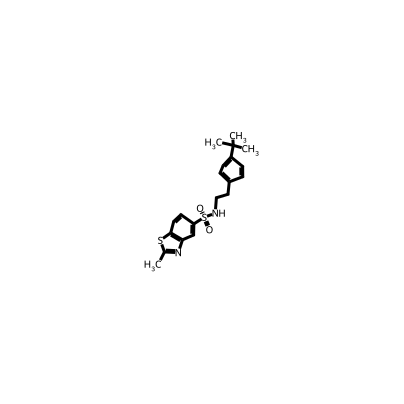 Cc1nc2cc(S(=O)(=O)NCCc3ccc(C(C)(C)C)cc3)ccc2s1